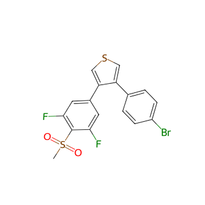 CS(=O)(=O)c1c(F)cc(-c2cscc2-c2ccc(Br)cc2)cc1F